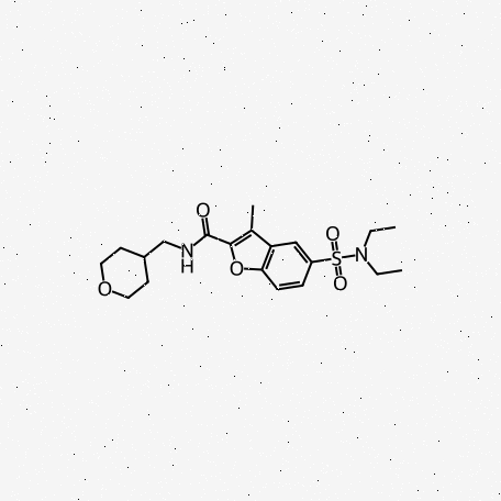 CCN(CC)S(=O)(=O)c1ccc2oc(C(=O)NCC3CCOCC3)c(C)c2c1